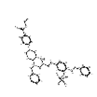 CCOC(=O)c1ccc([C@H]2CC[C@H](N(Cc3ccccc3)CC(O)COc3ccc(OCc4ccccc4)c(NS(C)(=O)=O)c3)CC2)cc1